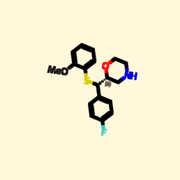 COc1ccccc1SC(c1ccc(F)cc1)[C@H]1CNCCO1